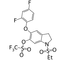 CCS(=O)(=O)N1CCc2cc(Oc3ccc(F)cc3F)c(OS(=O)(=O)C(F)(F)F)cc21